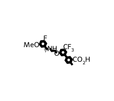 COc1cc(F)cc([C@@H](C)NCCOc2cc(-c3ccc(C)c(C(=O)O)c3)cc(C(F)(F)F)c2)c1